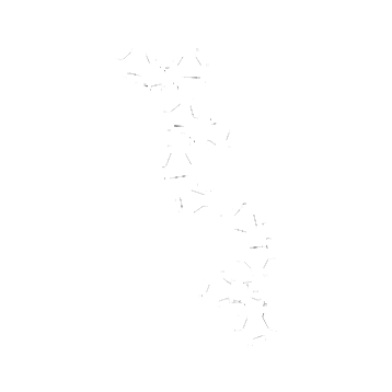 C[Si](C)(c1ccc2oc3ccc(-n4c5ccccc5c5cc(-n6c7ccccc7n7c8ccccc8nc67)ccc54)cc3c2c1)c1ccc2oc3ccc(-n4c5ccccc5n5c6ccccc6nc45)cc3c2c1